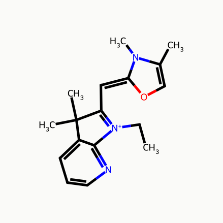 CC[N+]1=C(C=C2OC=C(C)N2C)C(C)(C)c2cccnc21